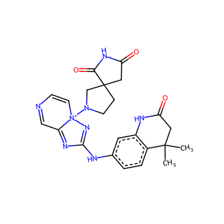 CC1(C)CC(=O)Nc2cc(NC3=N[N+]4(N5CCC6(CC(=O)NC6=O)C5)C=CN=CC4=N3)ccc21